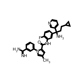 Cc1cc(C(=O)Nc2cc(C(N)(CCC3CC3)c3cccnc3)ccc2F)n(-c2cccc(C(=N)N)c2)c1